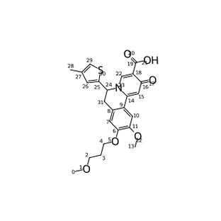 COCCCOc1cc2c(cc1OC)-c1cc(=O)c(C(=O)O)cn1C(c1cc(C)cs1)C2